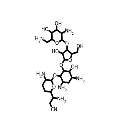 N#CCC(N)C1CCC(N)C(OC2C(N)CC(N)C(O)C2OC2OC(CO)C(OC3OC(CN)C(O)C(O)C3N)C2O)O1